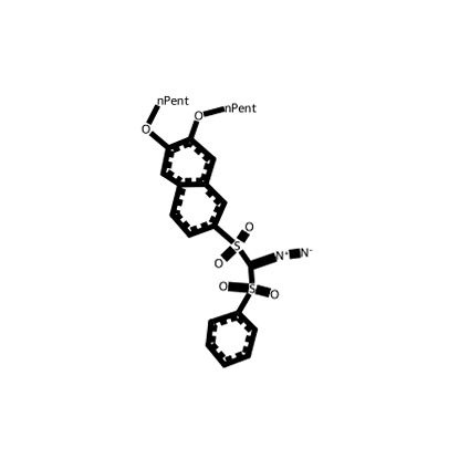 CCCCCOc1cc2ccc(S(=O)(=O)C(=[N+]=[N-])S(=O)(=O)c3ccccc3)cc2cc1OCCCCC